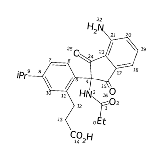 CCC(=O)NC1(c2ccc(C(C)C)cc2CCC(=O)O)C(=O)c2cccc(N)c2C1=O